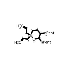 C=CC[Si]1(CC=C)CCC(CCCCC)C(CCCCC)O1